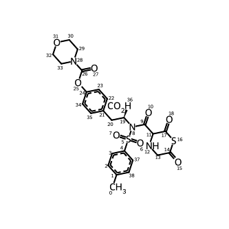 Cc1ccc(S(=O)(=O)N(C(=O)C2NCC(=O)SC2=O)[C@@H](Cc2ccc(OC(=O)N3CCOCC3)cc2)C(=O)O)cc1